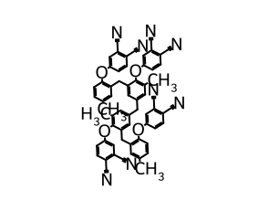 Cc1ccc(Oc2ccc(C#N)c(C#N)c2)c(Cc2cc(Cc3cc(C)c(Oc4ccc(C#N)c(C#N)c4)c(Cc4cc(C)ccc4Oc4ccc(C#N)c(C#N)c4)c3)cc(C)c2Oc2ccc(C#N)c(C#N)c2)c1